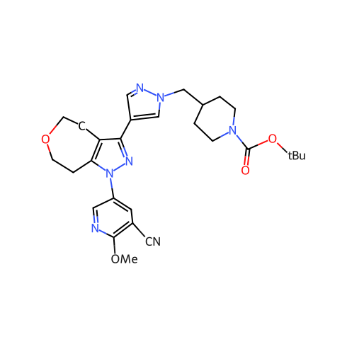 COc1ncc(-n2nc(-c3cnn(CC4CCN(C(=O)OC(C)(C)C)CC4)c3)c3c2CCOCC3)cc1C#N